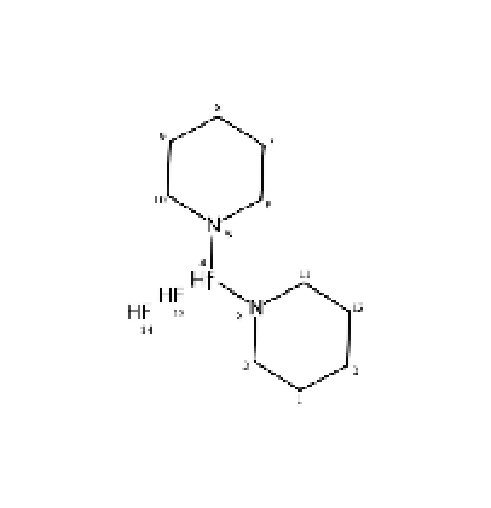 C1CC[N]([Hf][N]2CCCCC2)CC1.F.F